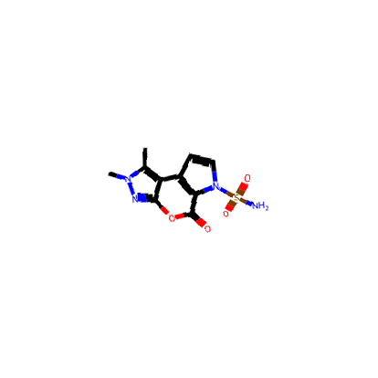 Cc1c2c(nn1C)oc(=O)c1c2ccn1S(N)(=O)=O